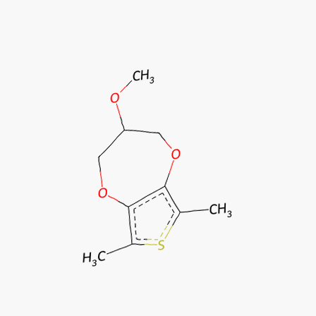 COC1COc2c(C)sc(C)c2OC1